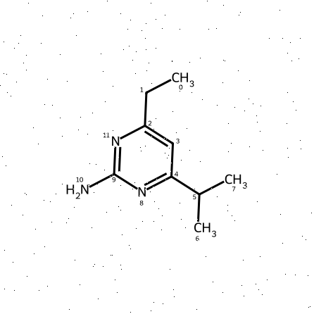 CCc1cc(C(C)C)nc(N)n1